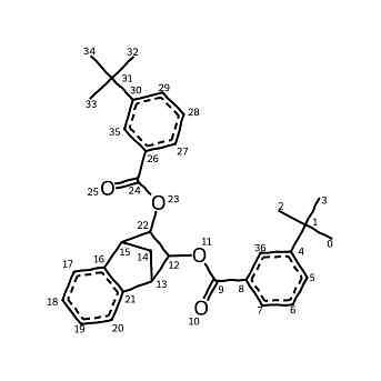 CC(C)(C)c1cccc(C(=O)OC2C3CC(c4ccccc43)C2OC(=O)c2cccc(C(C)(C)C)c2)c1